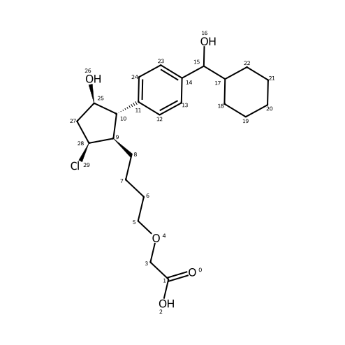 O=C(O)COCCCC[C@@H]1[C@@H](c2ccc(C(O)C3CCCCC3)cc2)[C@H](O)C[C@@H]1Cl